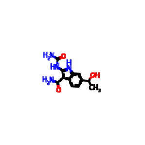 CC(O)c1ccc2c(C(N)=O)c(NC(N)=O)[nH]c2c1